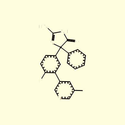 NC1=NC(c2cc[c]cc2)(c2ccc(F)c(-c3cncc(F)c3)c2)C(=O)N1